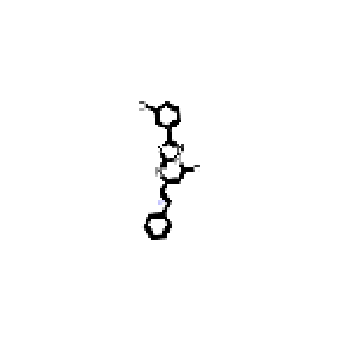 O=c1cc(/C=C/c2ccccc2)nc2sc(-c3cccc(Cl)c3)nn12